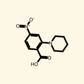 O=C(O)c1ccc([N+](=O)[O-])cc1N1CCCCC1